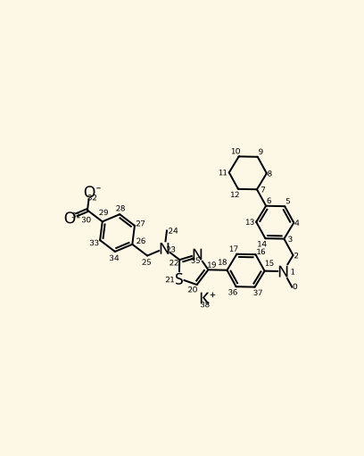 CN(Cc1ccc(C2CCCCC2)cc1)c1ccc(-c2csc(N(C)Cc3ccc(C(=O)[O-])cc3)n2)cc1.[K+]